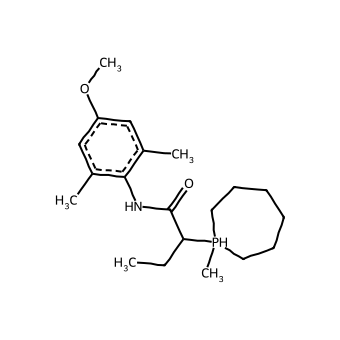 CCC(C(=O)Nc1c(C)cc(OC)cc1C)[PH]1(C)CCCCCC1